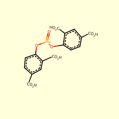 O=C(O)c1ccc(O[PH](=O)Oc2ccc(C(=O)O)cc2C(=O)O)c(C(=O)O)c1